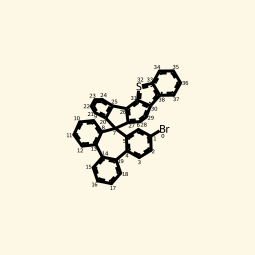 Brc1ccc2c(c1)C1(c3ccccc3-c3ccccc3-2)c2ccccc2-c2c1ccc1c2sc2ccccc21